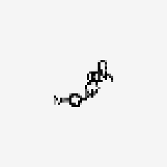 CCN1CC2(CCN(Cc3ccc(C#N)cc3)CC2)OCC1=O